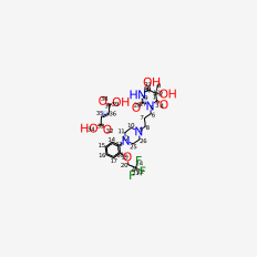 C[C@@]1(O)C(=O)N(CCCN2CCN(c3ccccc3OCC(F)(F)F)CC2)C(=O)N[C@H]1O.O=C(O)/C=C/C(=O)O